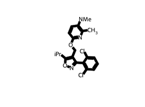 CNc1ccc(OCc2c(-c3c(Cl)cccc3Cl)noc2C(C)C)nc1C